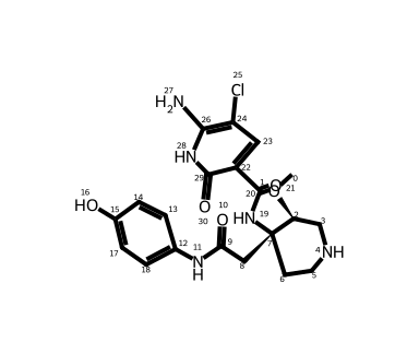 CO[C@H]1CNCC[C@]1(CC(=O)Nc1ccc(O)cc1)NC(=O)c1cc(Cl)c(N)[nH]c1=O